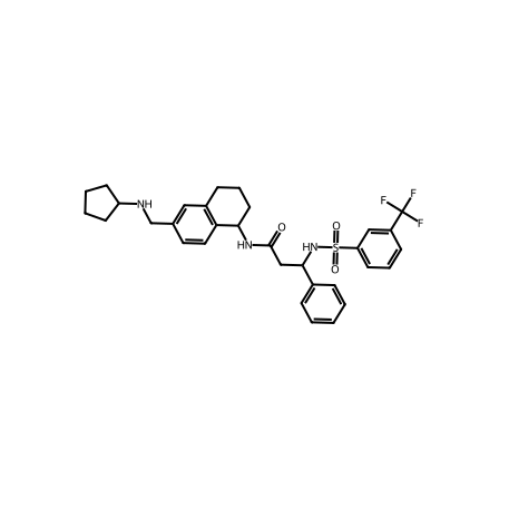 O=C(CC(NS(=O)(=O)c1cccc(C(F)(F)F)c1)c1ccccc1)NC1CCCc2cc(CNC3CCCC3)ccc21